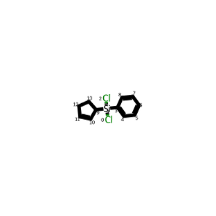 Cl[Si](Cl)(c1ccccc1)C1C=CCC1